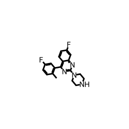 Cc1ccc(F)cc1-c1nc(N2CCNCC2)nc2cc(F)ccc12